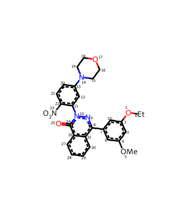 CCOc1cc(OC)cc(-c2nn(-c3cc(N4CCOCC4)ccc3[N+](=O)[O-])c(=O)c3ccccc23)c1